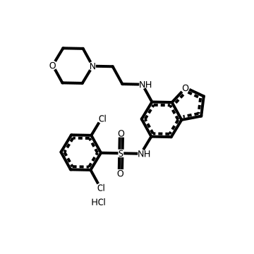 Cl.O=S(=O)(Nc1cc(NCCN2CCOCC2)c2occc2c1)c1c(Cl)cccc1Cl